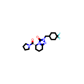 O=C([C@H]1CCCc2nn(CC3CCC(F)(F)CC3)c(=O)n21)N1CCCC1